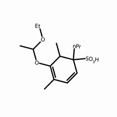 CCCC1(S(=O)(=O)O)C=CC(C)=C(OC(C)OCC)C1C